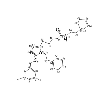 CC1=CC(C)CC(CSc2nnc(CCCCC(=O)NCCC3=CC=CCC3)n2CCC2=CCCC=C2)=C1